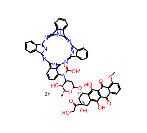 COc1cccc2c1C(=O)c1c(O)c3c(c(O)c1C2=O)C[C@@](O)(C(=O)CO)C[C@@H]3OC1CC(N(C(=O)O)c2cccc3c4nc5nc(nc6[nH]c(nc7nc(nc([nH]4)c23)-c2ccccc2-7)c2ccccc62)-c2ccccc2-5)C(O)C(C)O1.[Zn]